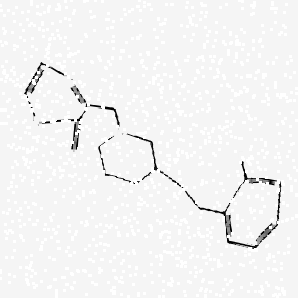 O=c1[nH]ccnc1CN1CCCC(CCc2ccccc2F)C1